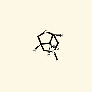 CN1C[C@@H]2CO[C@H](C1)[C@H]2N